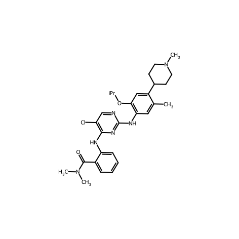 Cc1cc(Nc2ncc(Cl)c(Nc3ccccc3C(=O)N(C)C)n2)c(OC(C)C)cc1C1CCN(C)CC1